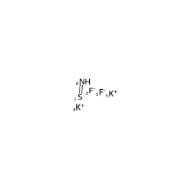 N=S.[F-].[F-].[K+].[K+]